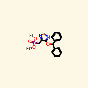 CCOP(=O)(Cc1nsnc1OC(c1ccccc1)c1ccccc1)OCC